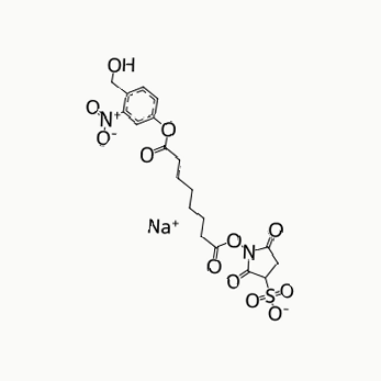 O=C(CCCCCCC(=O)ON1C(=O)CC(S(=O)(=O)[O-])C1=O)Oc1ccc(CO)c([N+](=O)[O-])c1.[Na+]